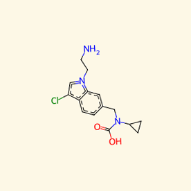 NCCn1cc(Cl)c2ccc(CN(C(=O)O)C3CC3)cc21